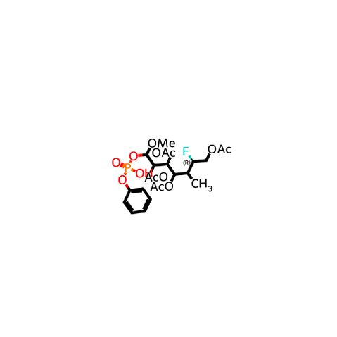 COC(OP(=O)(O)Oc1ccccc1)C(OC(C)=O)C(OC(C)=O)C(OC(C)=O)C(C)[C@@H](F)COC(C)=O